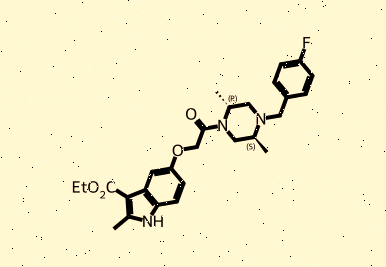 CCOC(=O)c1c(C)[nH]c2ccc(OCC(=O)N3C[C@H](C)N(Cc4ccc(F)cc4)C[C@H]3C)cc12